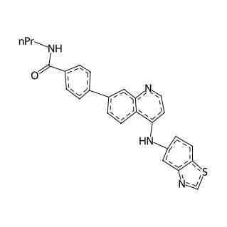 CCCNC(=O)c1ccc(-c2ccc3c(Nc4ccc5scnc5c4)ccnc3c2)cc1